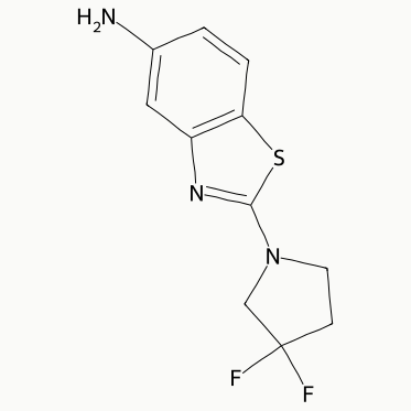 Nc1ccc2sc(N3CCC(F)(F)C3)nc2c1